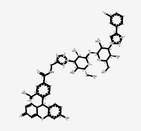 O=C1C=CC2C(=C1)Oc1cc(O)ccc1C2c1ccc(C(=O)NCc2nnn(C3C(O)[C@@H](CO)OC(S[C@@H]4OC(CO)[C@H](O)C(n5cc(-c6cccc(F)c6)nn5)C4O)[C@@H]3O)n2)cc1C(=O)O